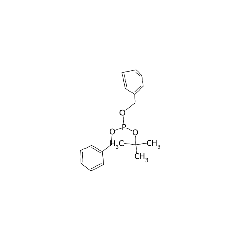 CC(C)(C)OP(OCc1ccccc1)OCc1ccccc1